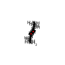 N=C(N)NCCNC[C@@H](O)c1cc([C@@H]2CC3(CC3)[C@@H]3CN2C(=O)N3OS(=O)(=O)ON2C(=O)N3C[C@H]2C2(CC2)C[C@H]3c2cc([C@H](O)CNCCNC(=N)N)on2)no1